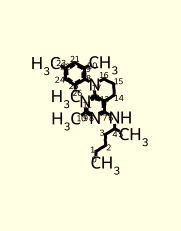 CCCCC(C)Nc1nc(C)nc2c1CCCN2c1c(C)cc(C)cc1C